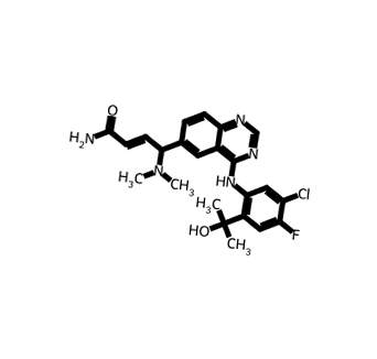 CN(C)C(C=CC(N)=O)c1ccc2ncnc(Nc3cc(Cl)c(F)cc3C(C)(C)O)c2c1